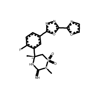 CN1C(=N)N[C@](C)(c2cc(-c3nnc(-c4ncco4)o3)ccc2F)CS1(=O)=O